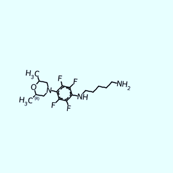 CC1CN(c2c(F)c(F)c(NCCCCCN)c(F)c2F)C[C@@H](C)O1